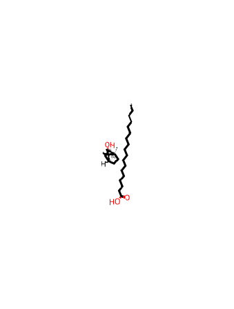 CC1(C)[C@@H]2CC[C@]1(C)[C@@H](O)C2.CCCCCCCCCCCCCCCCCC(=O)O